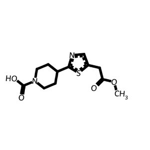 COC(=O)Cc1cnc(C2CCN(C(=O)O)CC2)s1